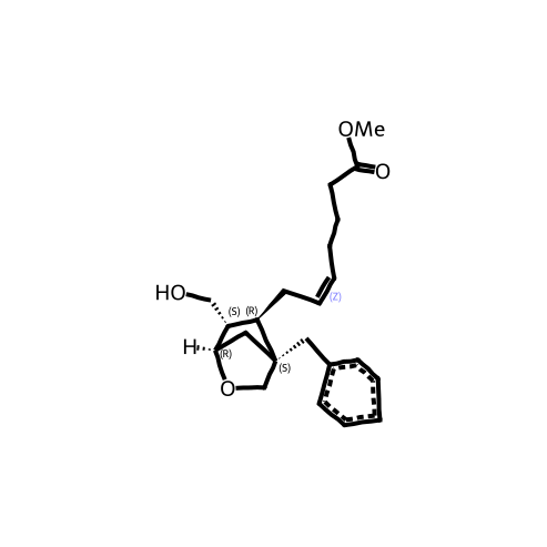 COC(=O)CCC/C=C\C[C@@H]1[C@@H](CO)[C@H]2C[C@]1(Cc1ccccc1)CO2